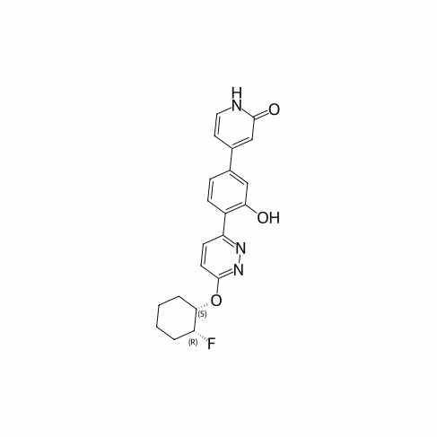 O=c1cc(-c2ccc(-c3ccc(O[C@H]4CCCC[C@H]4F)nn3)c(O)c2)cc[nH]1